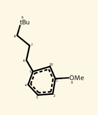 COc1cccc(CCCC(C)(C)C)c1